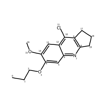 CCCOc1cc2nc3c(c(Cl)c2cc1OC)CCC3